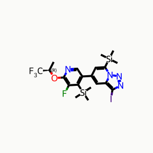 C[C@@H](Oc1ncc(-c2cc([Si](C)(C)C)n3nnc(I)c3c2)c([Si](C)(C)C)c1F)C(F)(F)F